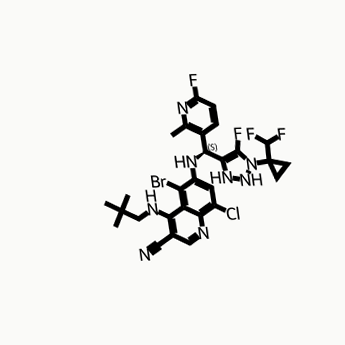 Cc1nc(F)ccc1[C@H](Nc1cc(Cl)c2ncc(C#N)c(NCC(C)(C)C)c2c1Br)C1=C(F)N(C2(C(F)F)CC2)NN1